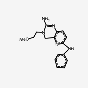 COCCN1Cc2nc(Nc3ccccc3)ccc2N=C1N